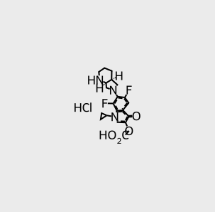 Cl.O=C(O)Oc1cn(C2CC2)c2c(F)c(N3C[C@@H]4CCCN[C@@H]4C3)c(F)cc2c1=O